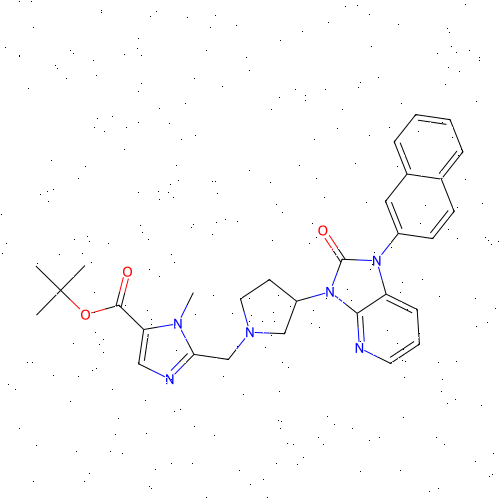 Cn1c(C(=O)OC(C)(C)C)cnc1CN1CCC(n2c(=O)n(-c3ccc4ccccc4c3)c3cccnc32)C1